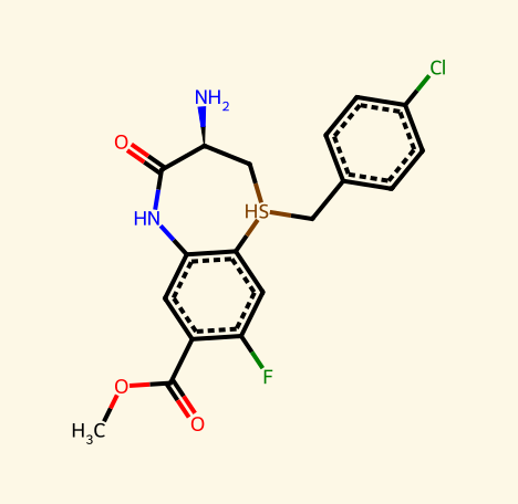 COC(=O)c1cc2c(cc1F)[SH](Cc1ccc(Cl)cc1)C[C@H](N)C(=O)N2